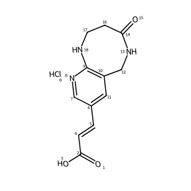 Cl.O=C(O)/C=C/c1cnc2c(c1)CNC(=O)CCN2